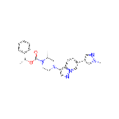 C[C@@H]1CN(c2cnn3cc(-c4cnn(C)c4)ccc23)CCN1C(=O)O[C@H](C)c1ccccc1